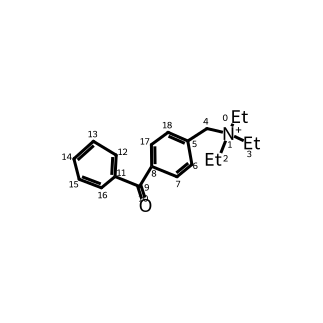 CC[N+](CC)(CC)Cc1ccc(C(=O)c2ccccc2)cc1